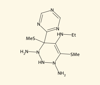 CCNC1=C(SC)N(N)NN(N)C1(SC)c1ncncn1